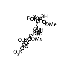 CCC(NC(=O)CCCCC[N+]1=C(/C=C2\C(=O)C(c3ccc(OC)cc3)=C2O)C(C)(C)c2cc(F)ccc21)C(=O)NCCOc1cc([N+](=O)[O-])c(C(C)OC(=O)Oc2ccc([N+](=O)[O-])cc2)cc1OC